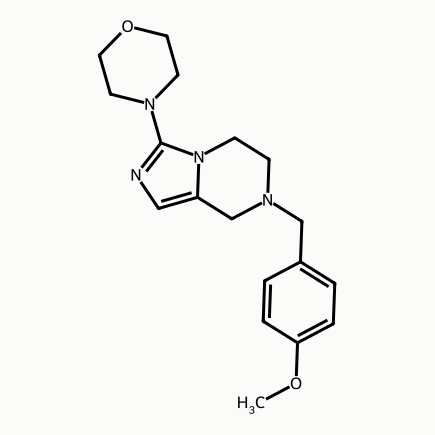 COc1ccc(CN2CCn3c(cnc3N3CCOCC3)C2)cc1